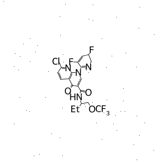 CCC(COC(F)(F)F)NC(=O)c1cn(C2=NCC(F)C=C2F)c2nc(Cl)ccc2c1=O